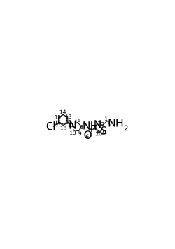 NCc1nc(C(=O)NC2CCN(c3cccc(Cl)c3)C2)cs1